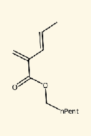 C=C(C=CC)C(=O)OCCCCCC